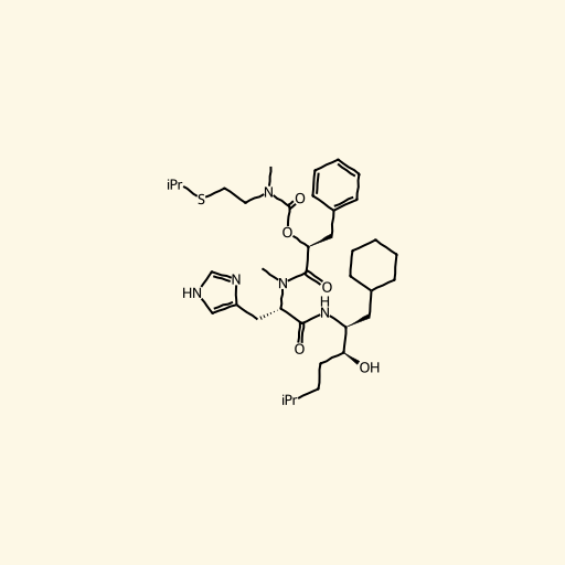 CC(C)CC[C@H](O)[C@H](CC1CCCCC1)NC(=O)[C@H](Cc1c[nH]cn1)N(C)C(=O)[C@H](Cc1ccccc1)OC(=O)N(C)CCSC(C)C